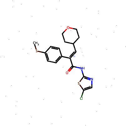 CSc1ccc(/C(=C\C2CCOCC2)C(=O)Nc2ncc(Cl)s2)cc1